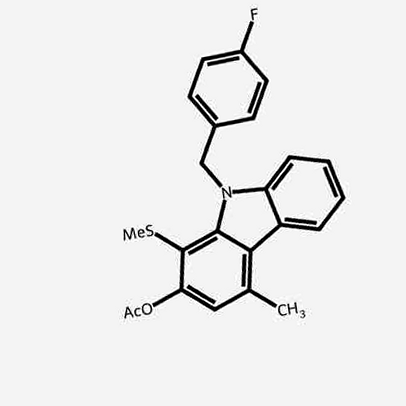 CSc1c(OC(C)=O)cc(C)c2c3ccccc3n(Cc3ccc(F)cc3)c12